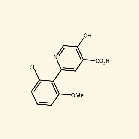 COc1cccc(Cl)c1-c1cc(C(=O)O)c(O)cn1